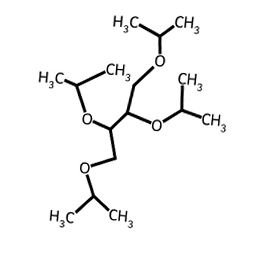 CC(C)OCC(OC(C)C)C(COC(C)C)OC(C)C